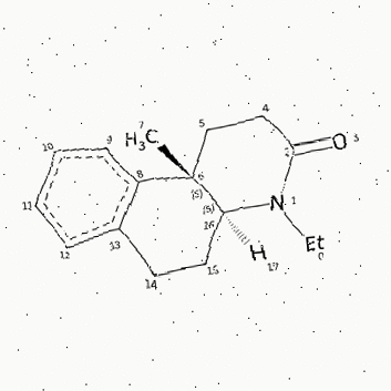 CCN1C(=O)CC[C@@]2(C)c3ccccc3CC[C@H]12